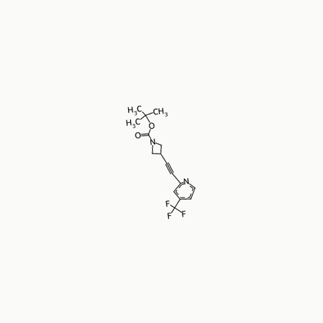 CC(C)(C)OC(=O)N1CC(C#Cc2cc(C(F)(F)F)ccn2)C1